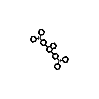 C1=CCC(N(c2ccccc2)c2ccc(-c3ccc(-c4ccc(N(c5ccccc5)c5ccccc5)cc4)c4ccccc34)cc2)C=C1